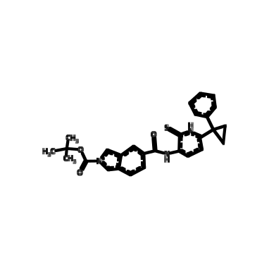 CC(C)(C)OC(=O)n1cc2ccc(C(=O)Nc3ccc(C4(c5ccccc5)CC4)[nH]c3=S)cc2c1